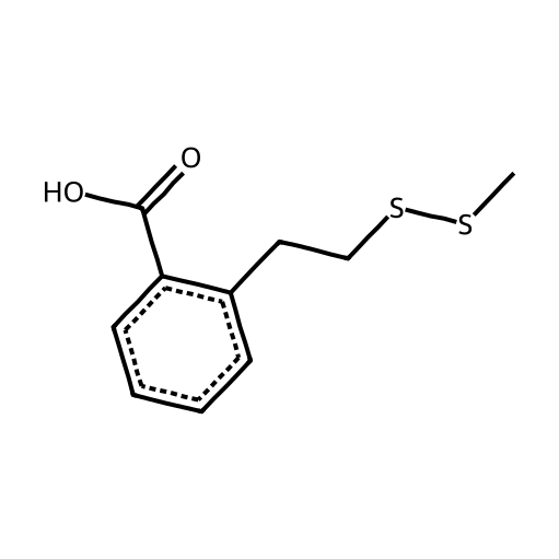 CSSCCc1ccccc1C(=O)O